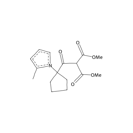 COC(=O)C(C(=O)OC)C(=O)C1(n2cccc2C)CCCC1